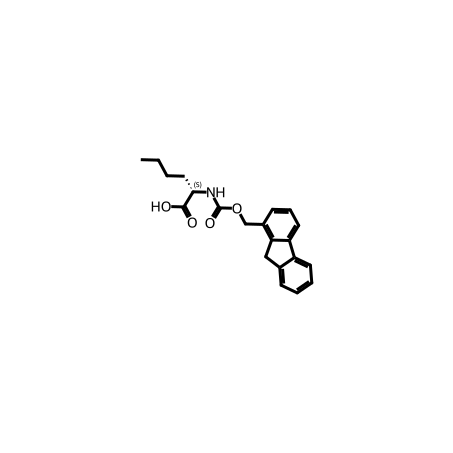 CCCC[C@H](NC(=O)OCc1cccc2c1Cc1ccccc1-2)C(=O)O